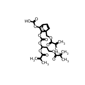 C=C(C)C(=O)OCCC(OC(=O)OC1C(OC(=O)O)C2C=CC1(COC(=O)C(=C)C)O2)OC(=O)C(=C)C